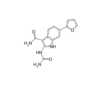 NC(=O)Nc1[nH]c2cc(-c3ccco3)ccc2c1C(N)=O